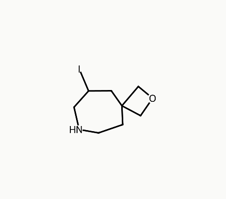 IC1CNCCC2(COC2)C1